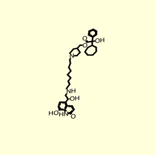 O=C(OCC1CCN(CCCCCCCCCNC[C@@H](O)c2ccc(O)c3[nH]c(=O)ccc23)CC1)C(O)(c1ccccc1)C1CCCCCC1